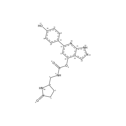 O=C1CCC(CNC(=O)Oc2cc(-c3ccc(O)cc3)nc3[nH]ncc23)N1